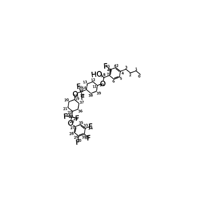 CCCCc1ccc(C(O)OC2CCC(C(F)(F)OC3CCC(C(F)(F)Oc4cc(F)c(F)c(F)c4)CC3)CC2)c(F)c1